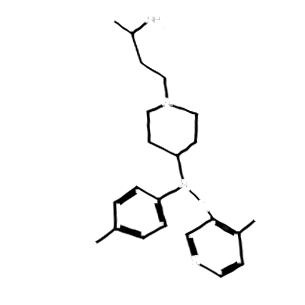 Cc1ccc(N(Cc2cnccc2C)C2CCN(CCC(C)N)CC2)cc1